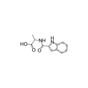 CC(NC(=O)c1cc2ccccc2[nH]1)C(=O)O